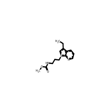 CCc1cn(CCCNC(=O)OC)c2ncccc12